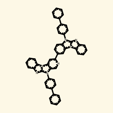 c1ccc(-c2ccc(-n3c4ccc(-c5cc6c(cn5)n(-c5ccc(-c7ccccc7)cc5)c5nc7ccccc7n65)cc4n4c5ccccc5nc34)cc2)cc1